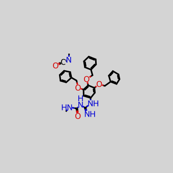 CN=C=O.CNC(=O)NC(=N)Nc1cc(OCc2ccccc2)c(OCc2ccccc2)c(OCc2ccccc2)c1